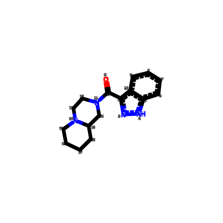 O=C(c1n[nH]c2ccccc12)N1CCN2CCCCC2C1